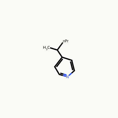 CCCC(C)c1ccncc1